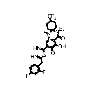 CCN1C(=O)c2c(O)c(=O)c(C(=N)SC(=N)Cc3ccc(F)cc3F)cn2N(C)C12CCC(C(F)(F)F)CC2